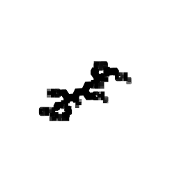 C=C/C(=C\C(F)=C(/CO)N(CC=O)SNC)CN/C(C=C)=N/C(O)=C\C